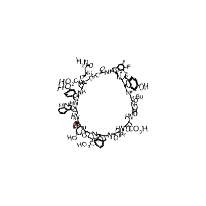 CCCC[C@H]1C(=O)N2CCC[C@@H]2C(=O)N[C@@H](CC(=O)O)C(=O)N[C@@H](C(C)C)C(=O)N(C)[C@@H](Cc2ccccc2)C(=O)N[C@@H](CCC(=O)O)C(=O)N2C[C@H](O)C[C@@H]2C(=O)N[C@@H](Cc2c[nH]c3ccccc23)C(=O)N[C@@H](Cc2ccc(O)cc2)C(=O)N[C@@H](CCC(=O)O)C(=O)N[C@H](C(=O)NCC(N)=O)CSCC(=O)N[C@@H](Cc2cc(F)c(F)c(F)c2)C(=O)N(C)[C@@H](Cc2ccc(O)cc2)C(=O)N1C